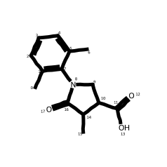 Cc1cccc(C)c1N1CC(C(=O)O)C(C)C1=O